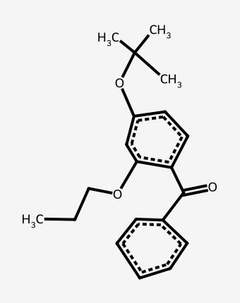 CCCOc1cc(OC(C)(C)C)ccc1C(=O)c1ccccc1